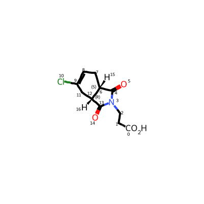 O=C(O)CCN1C(=O)[C@H]2CC=C(Cl)C[C@H]2C1=O